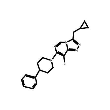 Clc1c(N2CCC(c3ccccc3)CC2)ncn2c(CC3CC3)nnc12